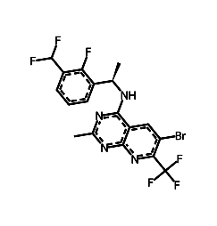 Cc1nc(N[C@H](C)c2cccc(C(F)F)c2F)c2cc(Br)c(C(F)(F)F)nc2n1